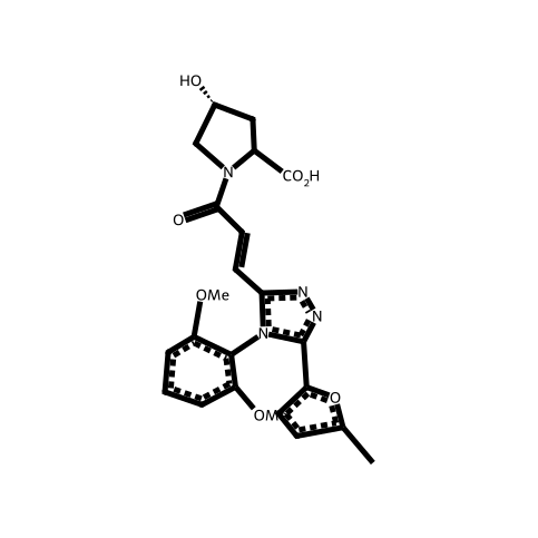 COc1cccc(OC)c1-n1c(/C=C/C(=O)N2C[C@H](O)CC2C(=O)O)nnc1-c1ccc(C)o1